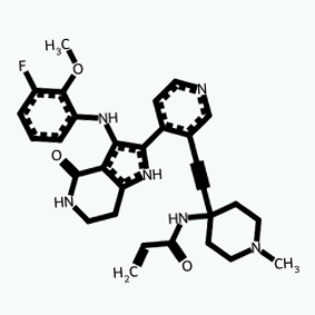 C=CC(=O)NC1(C#Cc2cnccc2-c2[nH]c3c(c2Nc2cccc(F)c2OC)C(=O)NCC3)CCN(C)CC1